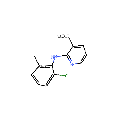 CCOC(=O)c1cccnc1Nc1c(C)cccc1Cl